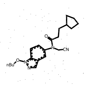 CCCCOn1ncc2cc(N(CC#N)C(=O)CCC3CCCC3)ccc21